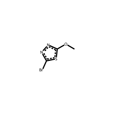 COc1nnc(Br)s1